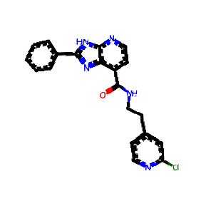 O=C(NCCc1ccnc(Cl)c1)c1ccnc2[nH]c(-c3ccccc3)nc12